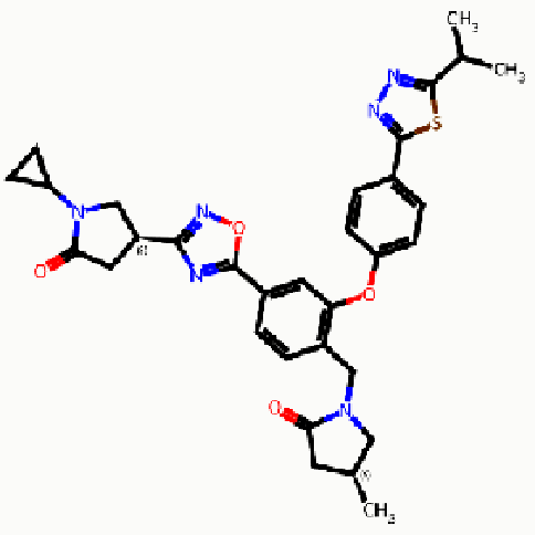 CC(C)c1nnc(-c2ccc(Oc3cc(-c4nc([C@H]5CC(=O)N(C6CC6)C5)no4)ccc3CN3C[C@@H](C)CC3=O)cc2)s1